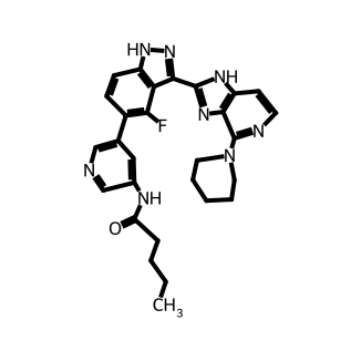 CCCCC(=O)Nc1cncc(-c2ccc3[nH]nc(-c4nc5c(N6CCCCC6)nccc5[nH]4)c3c2F)c1